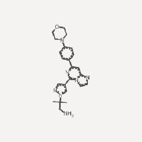 CC(C)(CN)n1cc(-c2nc(-c3ccc(N4CCOCC4)cc3)cc3nccn23)cn1